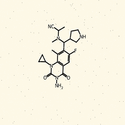 Cc1c(C(C2CCNC2)N(C)C(C)C#N)c(F)cc2c(=O)n(N)c(=O)n(C3CC3)c12